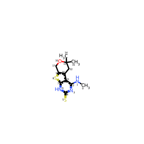 CNc1nc(=S)[nH]c2sc3c(c12)CC(C)(C)OC3